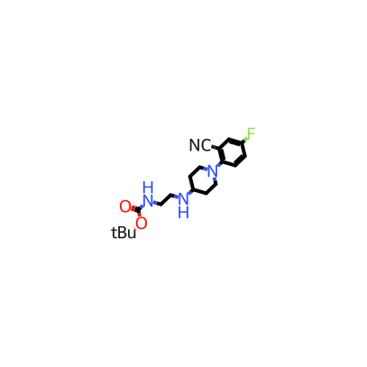 CC(C)(C)OC(=O)NCCNC1CCN(c2ccc(F)cc2C#N)CC1